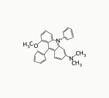 COc1cccc2c1c(-c1ccccc1)c1ccc(N(C)C)cc1[n+]2-c1ccccc1